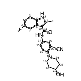 Cc1[nH]c2ccc(F)cc2c1C(=O)Nc1ccc(N2CCC(O)CC2)c(C#N)c1